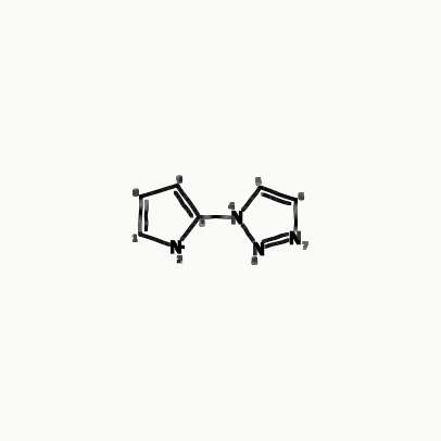 C1=C[N]C(n2ccnn2)=C1